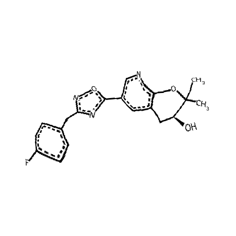 CC1(C)Oc2ncc(-c3nc(-c4ccc(F)cc4)no3)cc2C[C@@H]1O